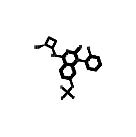 O=c1nc(N[C@@H]2CC[C@H]2O)c2ccc(OC(F)(F)F)cc2n1-c1ccccc1Cl